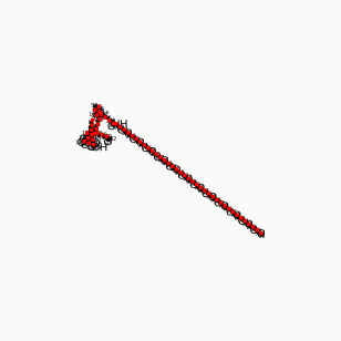 CCCCN1C(=CC=CC=CC2=[N+](CCCCCC(=O)NCCOCCOCCOCCOCCOCCOCCOCCOCCOCCOCCOCCOCCOCCOCCOCCOCCOCCOCCOCCOCCOCCOCCOCCOC)c3ccc(C)cc3C2(C)C)C(C)(CCCCCC(C)=O)c2c1ccc1c(S(=O)(=O)[O-])cc(S(=O)(=O)O)cc21